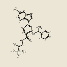 CC(Nc1cc(-c2cnn3cc(C#N)cnc23)ncc1C(=O)NCC(F)C(C)(C)O)c1cccnc1